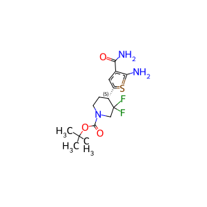 CC(C)(C)OC(=O)N1CC[C@H](c2cc(C(N)=O)c(N)s2)C(F)(F)C1